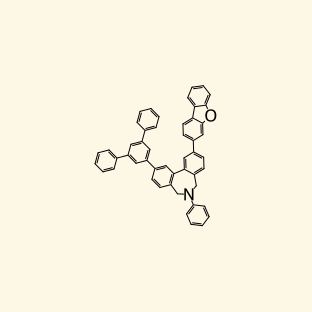 c1ccc(-c2cc(-c3ccccc3)cc(-c3ccc4c(c3)-c3cc(-c5ccc6c(c5)oc5ccccc56)ccc3CN(c3ccccc3)C4)c2)cc1